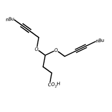 CCCCC#CCOC(CCC(=O)O)OCC#CCCCC